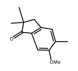 COc1cc2c(cc1C)CC(C)(C)C2=O